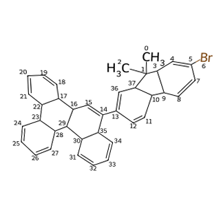 CC1(C)C2C=C(Br)C=CC2C2C=CC(C3=CC4C5C=CC=CC5C5C=CC=CC5C4C4C=CC=CC34)=CC21